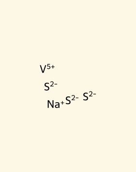 [Na+].[S-2].[S-2].[S-2].[V+5]